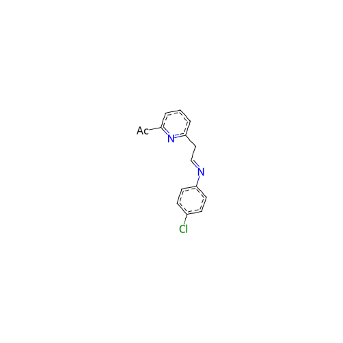 CC(=O)c1cccc(CC=Nc2ccc(Cl)cc2)n1